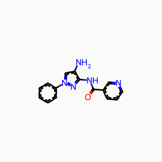 Nc1cn(-c2ccccc2)nc1NC(=O)c1cccnc1